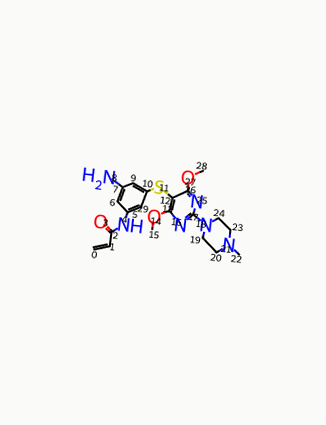 C=CC(=O)Nc1cc(N)cc(Sc2c(OC)nc(N3CCN(C)CC3)nc2OC)c1